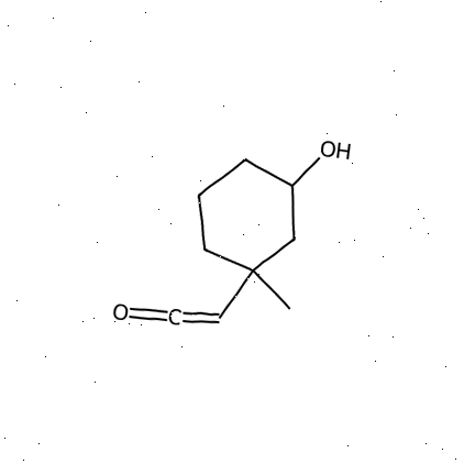 CC1(C=C=O)CCCC(O)C1